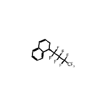 FC(F)(F)C(F)(F)C(F)(F)C(F)(F)[C]1CC=Cc2ccccc21